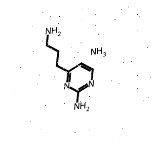 N.NCCCc1ccnc(N)n1